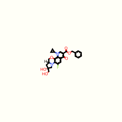 O=C(OCc1ccccc1)c1cn(C2CC2)c2c3c(c(F)cc2c1=O)N1C[C@@](O)(CO)C[C@@H]1CO3